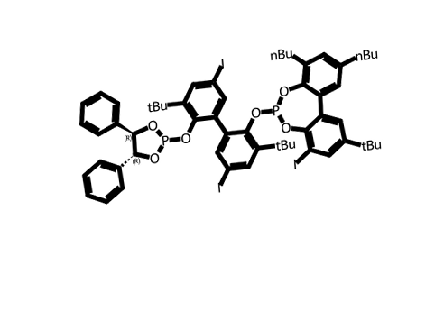 CCCCc1cc(CCCC)c2op(Oc3c(-c4cc(I)cc(C(C)(C)C)c4OP4O[C@H](c5ccccc5)[C@@H](c5ccccc5)O4)cc(I)cc3C(C)(C)C)oc3c(I)cc(C(C)(C)C)cc3c2c1